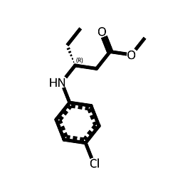 CC[C@H](CC(=O)OC)Nc1ccc(Cl)cc1